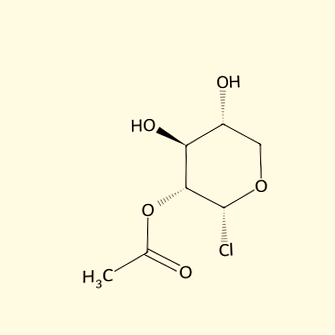 CC(=O)O[C@@H]1[C@@H](O)[C@H](O)CO[C@@H]1Cl